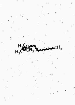 CCCCCCCCCCC\C=C/C=C/C=C\C=C\C(=O)Oc1c(C)cc(C)cc1C